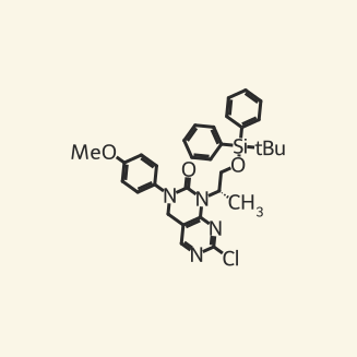 COc1ccc(N2Cc3cnc(Cl)nc3N([C@@H](C)CO[Si](c3ccccc3)(c3ccccc3)C(C)(C)C)C2=O)cc1